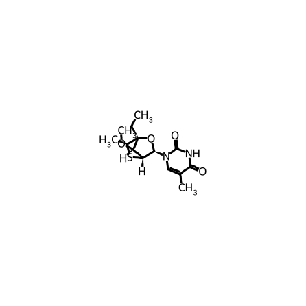 CC[C@]12O[C@@H](n3cc(C)c(=O)[nH]c3=O)[C@H](S[C@H]1C)[C@@H]2OC